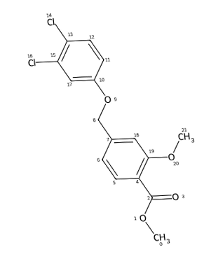 COC(=O)c1ccc(COc2ccc(Cl)c(Cl)c2)cc1OC